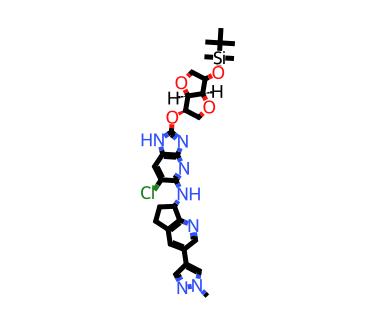 Cn1cc(-c2cnc3c(c2)CCC3Nc2nc3nc(O[C@@H]4CO[C@@H]5C(O[Si](C)(C)C(C)(C)C)CO[C@@H]54)[nH]c3cc2Cl)cn1